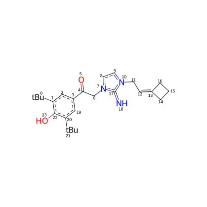 CC(C)(C)c1cc(C(=O)Cn2ccn(CC=C3CCC3)c2=N)cc(C(C)(C)C)c1O